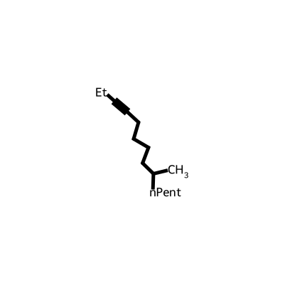 [CH2]CC#CCCCCC(C)CCCC[CH2]